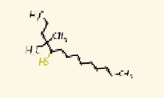 CCCCCCCCCC(S)C(C)(C)CCC